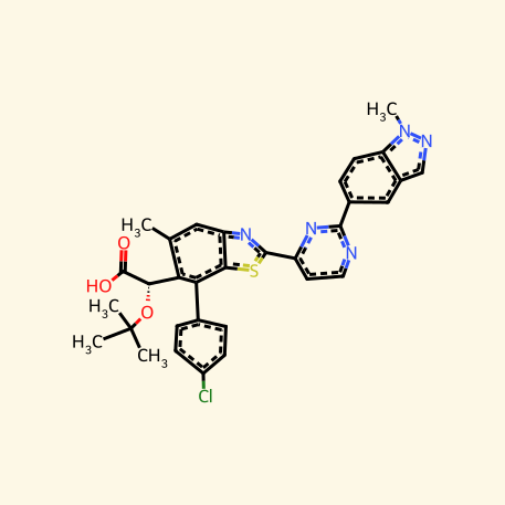 Cc1cc2nc(-c3ccnc(-c4ccc5c(cnn5C)c4)n3)sc2c(-c2ccc(Cl)cc2)c1[C@H](OC(C)(C)C)C(=O)O